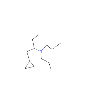 CCCN(CCC)C(CC)CC1CC1